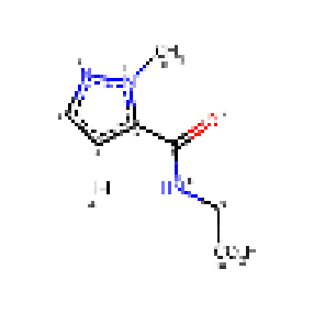 Cn1nccc1C(=O)NCC(=O)O.[LiH]